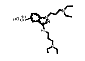 CCN(CC)CCCNc1nn(CCCN(CC)CC)c2ccc(O)cc12.Cl.Cl